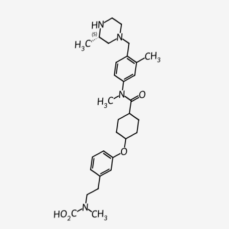 Cc1cc(N(C)C(=O)C2CCC(Oc3cccc(CCN(C)C(=O)O)c3)CC2)ccc1CN1CCN[C@@H](C)C1